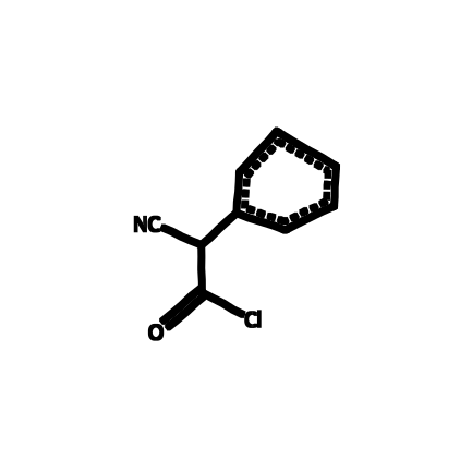 N#CC(C(=O)Cl)c1ccccc1